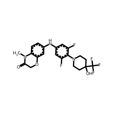 CN1C(=O)COc2cc(Nc3cc(F)c(N4CCC(O)(C(F)(F)F)CC4)c(F)c3)ccc21